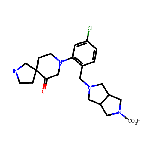 O=C(O)N1CC2CN(Cc3ccc(Cl)cc3N3CCC4(CCNC4)C(=O)C3)CC2C1